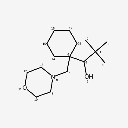 CC(C)(C)C(O)C1(CN2CCOCC2)CCCCC1